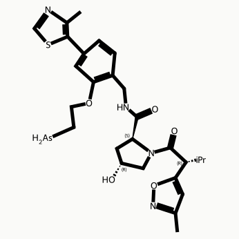 Cc1cc([C@H](C(=O)N2C[C@H](O)C[C@H]2C(=O)NCc2ccc(-c3scnc3C)cc2OCC[AsH2])C(C)C)on1